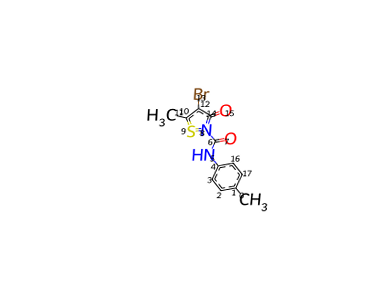 Cc1ccc(NC(=O)n2sc(C)c(Br)c2=O)cc1